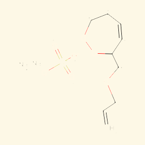 C=CCOCC1C=CCCOO1.O=S(=O)([O-])[O-].[Na+].[Na+]